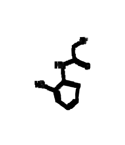 O=C(CBr)Nc1ccccc1O